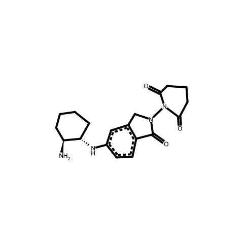 N[C@H]1CCCC[C@@H]1Nc1ccc2c(c1)CN(N1C(=O)CCCC1=O)C2=O